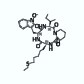 CCSCCCCC[C@@H]1NC(=O)[C@H]2CCCCN2C(=O)[C@H](C(C)CC)NC(=O)[C@H](Cc2cn(OC)c3ccccc23)NC1=O